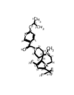 CC(C)Oc1ccc(C(=O)N2CCC3(CC2)c2c(F)cc(C(F)(F)F)n2CCN3C)cn1